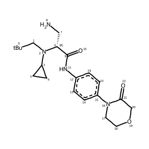 CC(C)(C)CN(C1CC1)[C@H](CN)C(=O)Nc1ccc(N2CCOCC2=O)cc1